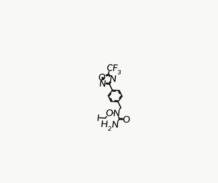 NC(=O)N(Cc1ccc(-c2noc(C(F)(F)F)n2)cc1)OCI